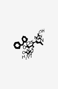 Cc1cc(C(=S)C2=C(C(=O)OC(c3ccccc3)c3ccccc3)N3C(=O)C(N)[C@@H]3SC2)n2nc(CO)nc2n1